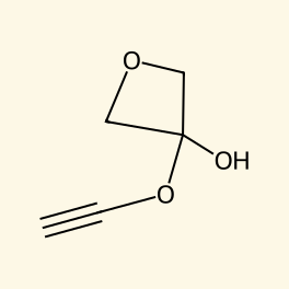 C#COC1(O)COC1